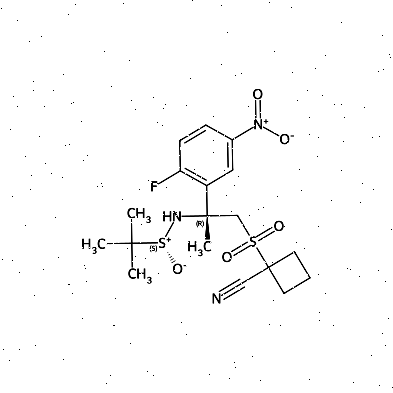 CC(C)(C)[S@@+]([O-])N[C@@](C)(CS(=O)(=O)C1(C#N)CCC1)c1cc([N+](=O)[O-])ccc1F